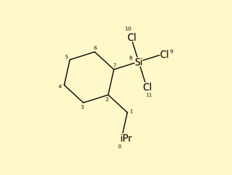 CC(C)CC1CCCCC1[Si](Cl)(Cl)Cl